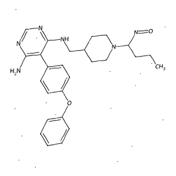 CCCC(N=O)N1CCC(CNc2ncnc(N)c2-c2ccc(Oc3ccccc3)cc2)CC1